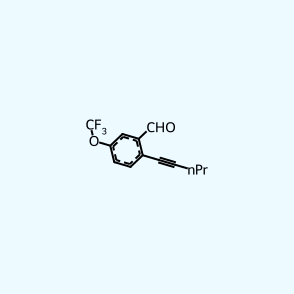 CCCC#Cc1ccc(OC(F)(F)F)cc1C=O